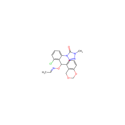 CC=NOC(c1cccc2c1COCO2)c1c(Cl)cccc1-n1nnn(C)c1=O